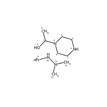 CC(O)N1CCNCC1.CCCNN(C)C